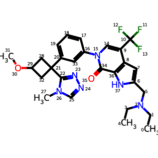 CCN(CC)Cc1cc2c(C(F)(F)F)cn(-c3cccc(C4(c5nncn5C)CC(OC)C4)c3)c(=O)c2[nH]1